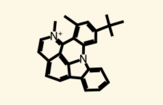 Cc1cc(C(C)(C)C)cc2c1c1c3c(ccc4c5ccccc5n2c43)cc[n+]1C